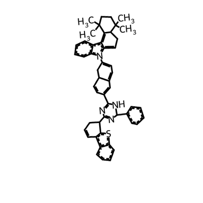 CC1(C)CCC(C)(C)C2CC=c3c(c4ccccc4n3C3=CC=C4C=C(C5=NC(C6CC=Cc7c6sc6ccccc76)=NC(c6ccccc6)N5)C=CC4C3)=C21